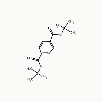 C=C(O[Si](C)(C)C)c1ccc(C(=O)OC(C)(C)C)cc1